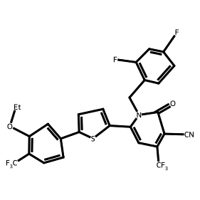 CCOc1cc(-c2ccc(-c3cc(C(F)(F)F)c(C#N)c(=O)n3Cc3ccc(F)cc3F)s2)ccc1C(F)(F)F